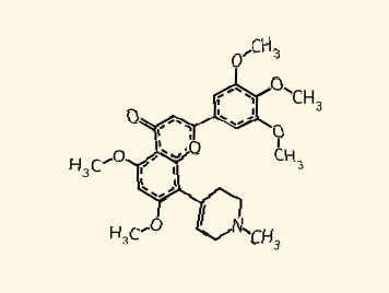 COc1cc(-c2cc(=O)c3c(OC)cc(OC)c(C4=CCN(C)CC4)c3o2)cc(OC)c1OC